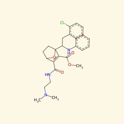 COC(=O)C1=C(C(=O)NCCN(C)C)C2CCC1(C(Cc1ccccc1Cl)Nc1ccccc1)O2